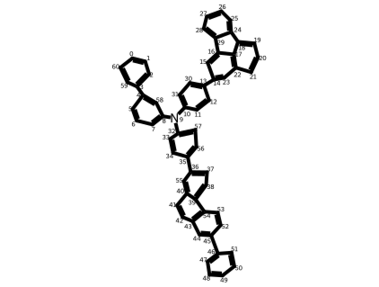 c1ccc(-c2cccc(N(c3ccc(-c4cc5c6c(cccc6c4)-c4ccccc4-5)cc3)c3ccc(-c4ccc5c(ccc6cc(-c7ccccc7)ccc65)c4)cc3)c2)cc1